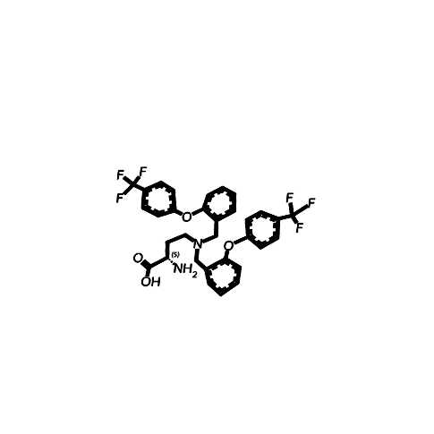 N[C@@H](CCN(Cc1ccccc1Oc1ccc(C(F)(F)F)cc1)Cc1ccccc1Oc1ccc(C(F)(F)F)cc1)C(=O)O